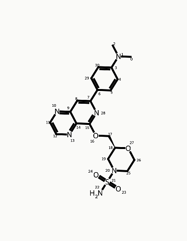 CN(C)c1ccc(-c2cc3nccnc3c(OC[C@@H]3CN(S(N)(=O)=O)CCO3)n2)cc1